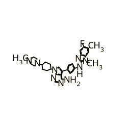 Cc1cc2c(cc1F)nc(Nc1ccc(-c3cn(C4CCC(N5CCN(C)CC5)CC4)c4ncnc(N)c34)cc1)n2C